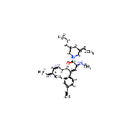 C#Cc1ccc(/C(=C/C(=N\C)C(=O)N2CC(CC)CC(CCC)C2)CC/C=C\C(C)=C/C)cc1